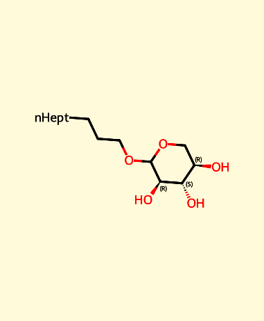 CCCCCCCCCCOC1OC[C@@H](O)[C@H](O)[C@H]1O